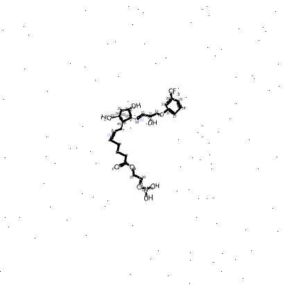 O=C(CCC/C=C\C[C@@H]1[C@@H](/C=C/[C@@H](O)COc2cccc(C(F)(F)F)c2)[C@H](O)C[C@@H]1O)OCCON(O)O